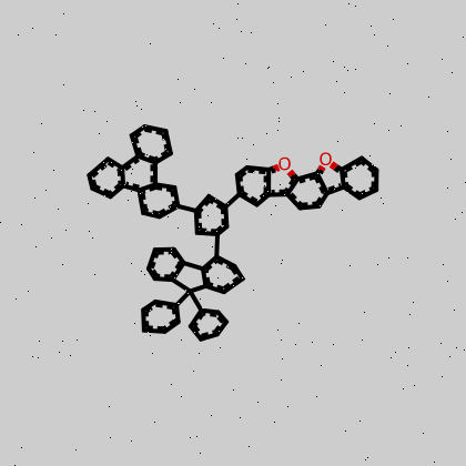 c1ccc(C2(c3ccccc3)c3ccccc3-c3c(-c4cc(-c5ccc6oc7c(ccc8c9ccccc9oc87)c6c5)cc(-c5ccc6c7ccccc7c7ccccc7c6c5)c4)cccc32)cc1